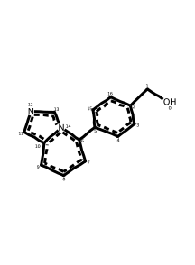 OCc1ccc(-c2cccc3cncn23)cc1